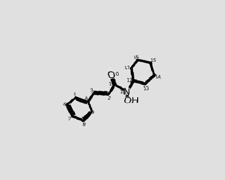 O=C(C=Cc1ccccc1)N(O)C1CCCCC1